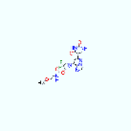 COCCNC(=O)OC1CN(c2cc(-c3c[nH]c(=O)[nH]c3=O)nn3ccnc23)CC1(F)F